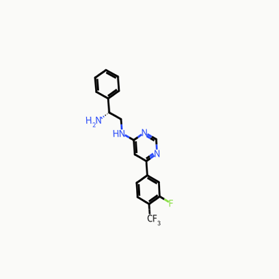 N[C@@H](CNc1cc(-c2ccc(C(F)(F)F)c(F)c2)ncn1)c1ccccc1